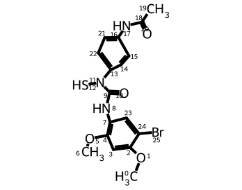 COc1cc(OC)c(NC(=O)N(S)c2ccc(NC(C)=O)cc2)cc1Br